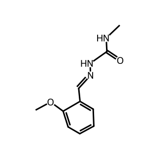 CNC(=O)N/N=C/c1ccccc1OC